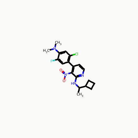 CC(Nc1nccc(-c2cc(F)c(N(C)C)cc2Cl)c1[N+](=O)[O-])C1CCC1